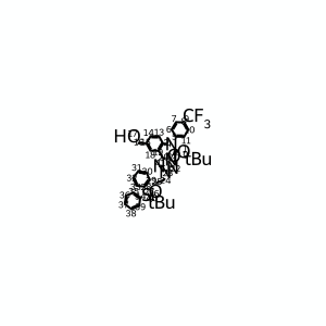 CC(C)(C)OC(=O)N(c1ccc(C(F)(F)F)cc1)c1ccc(CO)cc1-c1nnn(CCO[Si](c2ccccc2)(c2ccccc2)C(C)(C)C)n1